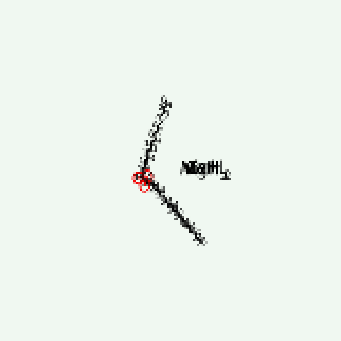 CCCCCCCCCCCCCCCCCC(=O)OC(=O)CCCCCCCCCCCCCCCCC.[CaH2].[CaH2].[MgH2]